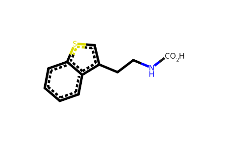 O=C(O)NCCc1csc2ccccc12